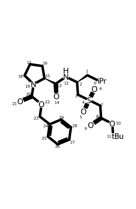 CC(C)C[C@@H](CS(=O)(=O)CC(=O)OC(C)(C)C)NC(=O)[C@@H]1CCCN1C(=O)OCc1ccccc1